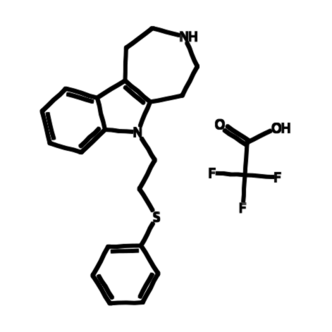 O=C(O)C(F)(F)F.c1ccc(SCCn2c3c(c4ccccc42)CCNCC3)cc1